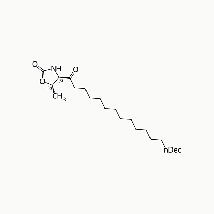 CCCCCCCCCCCCCCCCCCCCCCC(=O)[C@@H]1NC(=O)O[C@@H]1C